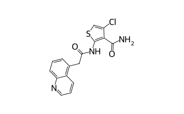 NC(=O)c1c(Cl)csc1NC(=O)Cc1cccc2ncccc12